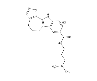 CN(C)CCCNC(=O)c1ccc2[nH]c3c(c2c1)CCCc1cn[nH]c1-3.Cl